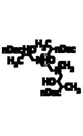 CCCCCCCCCCC(C)C(O)CN(C)CCCN(CC(O)C(C)CCCCCCCCCC)CC(O)C(C)CCCCCCCCCC